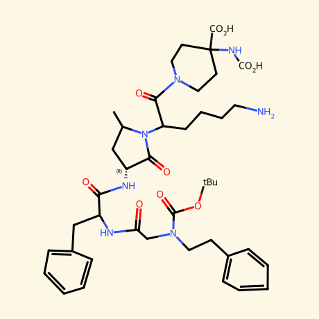 CC1C[C@@H](NC(=O)C(Cc2ccccc2)NC(=O)CN(CCc2ccccc2)C(=O)OC(C)(C)C)C(=O)N1C(CCCCN)C(=O)N1CCC(NC(=O)O)(C(=O)O)CC1